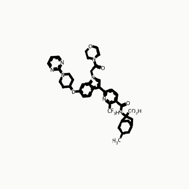 CC1CC2CC(C1)C(NC(=O)c1ccc(-c3cn(CC(=O)N4CCOCC4)c4cc(OC5CCN(c6ncccn6)CC5)ccc34)nc1C(F)(F)F)(C(=O)O)C2